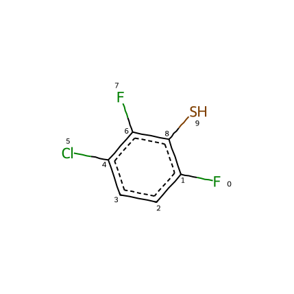 Fc1ccc(Cl)c(F)c1S